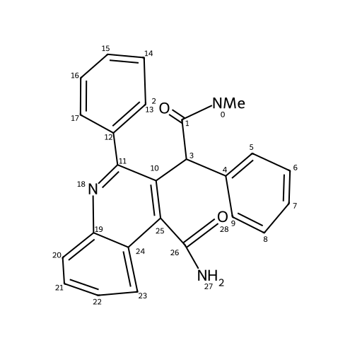 CNC(=O)C(c1ccccc1)c1c(-c2ccccc2)nc2ccccc2c1C(N)=O